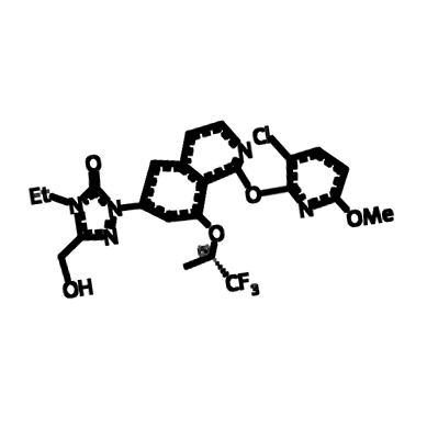 CCn1c(CO)nn(-c2cc(O[C@@H](C)C(F)(F)F)c3c(Oc4nc(OC)ccc4Cl)nccc3c2)c1=O